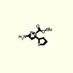 CC(C)(C)OC(=O)n1nc(N)cc1C1CC=CS1